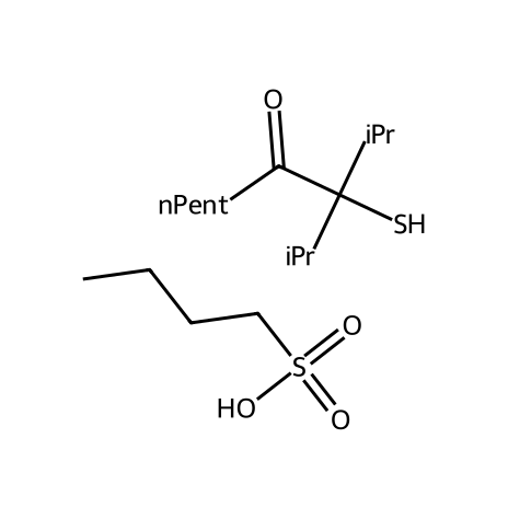 CCCCCC(=O)C(S)(C(C)C)C(C)C.CCCCS(=O)(=O)O